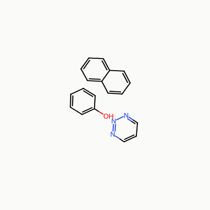 Oc1ccccc1.c1ccc2ccccc2c1.c1cnnnc1